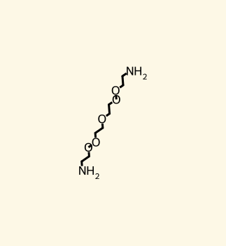 NCCOOCCOCCOOCCN